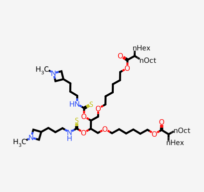 CCCCCCCCC(CCCCCC)C(=O)OCCCCCCOCC(OC(=S)NCCCC1CN(C)C1)C(COCCCCCCOC(=O)C(CCCCCC)CCCCCCCC)OC(=S)NCCCC1CN(C)C1